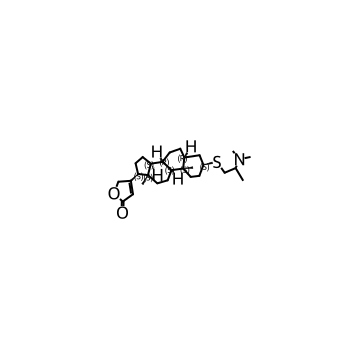 CC(CS[C@H]1CC[C@@]2(C)[C@H](CC[C@@H]3[C@@H]2CC[C@]2(C)[C@@H](C4=CC(=O)OC4)CC[C@@H]32)C1)N(C)C